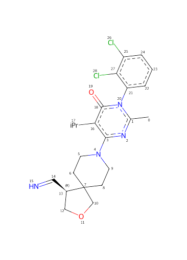 Cc1nc(N2CCC3(CC2)COC[C@H]3C=N)c(C(C)C)c(=O)n1-c1cccc(Cl)c1Cl